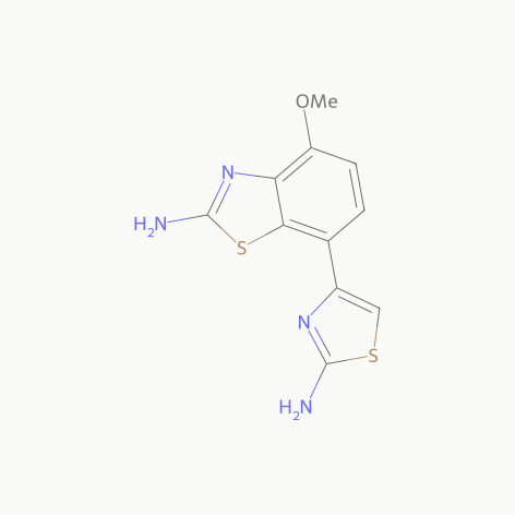 COc1ccc(-c2csc(N)n2)c2sc(N)nc12